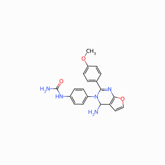 COc1ccc(C2=Nc3occc3C(N)N2c2ccc(NC(N)=O)cc2)cc1